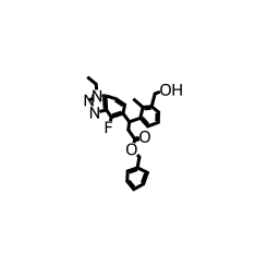 CCn1nnc2c(F)c(C(CC(=O)OCc3ccccc3)c3cccc(CO)c3C)ccc21